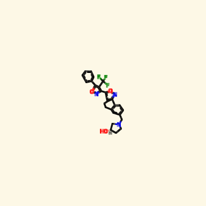 O[C@H]1CCN(Cc2ccc3c(c2)CCc2c-3noc2-c2noc(-c3ccccc3)c2C(F)(F)F)C1